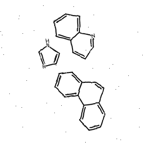 c1c[nH]cn1.c1ccc2c(c1)ccc1ccccc12.c1ccc2ncccc2c1